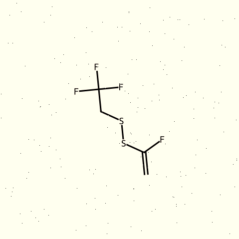 C=C(F)SSCC(F)(F)F